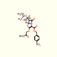 COC(=O)CSC1=C(C(=O)OCc2ccc([N+](=O)[O-])cc2)N2C(=O)C(C(C)(O[SiH](C)C)C(C)(C)C)[C@H]2S1